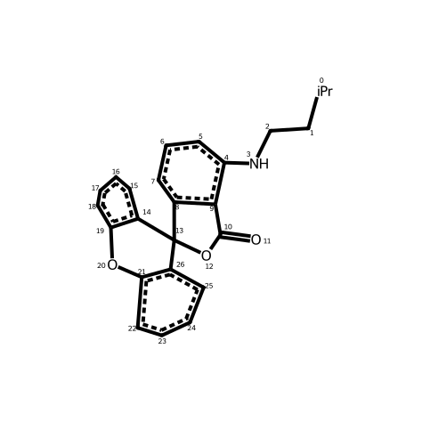 CC(C)CCNc1cccc2c1C(=O)OC21c2ccccc2Oc2ccccc21